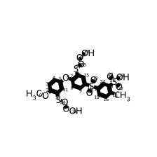 COc1ccc(Oc2ccc(S(=O)(=O)c3ccc(C)c(S(=O)(=O)O)c3)cc2SOOO)cc1SOOO